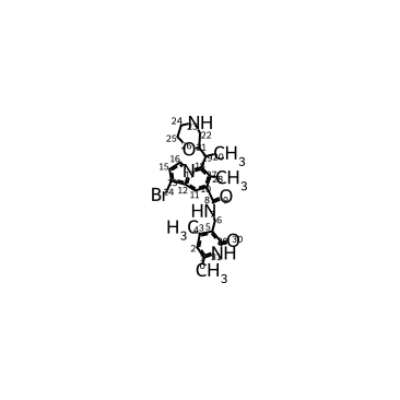 Cc1cc(C)c(CNC(=O)c2cc3c(Br)ccn3c(C(C)C3CNCCO3)c2C)c(=O)[nH]1